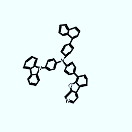 c1ccc2c(-c3ccc(N(c4ccc(-c5cccc6c5oc5cnccc56)cc4)c4ccc(-n5c6ccccc6c6ccccc65)cc4)cc3)cccc2c1